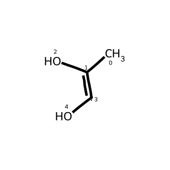 C/C(O)=[C]/O